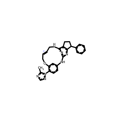 Cc1ncnn1-c1ccc2cc1OC/C=C/CNc1nc(nc3c1CCC3c1ccccc1)N2